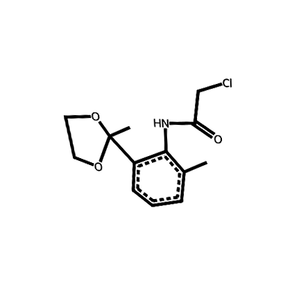 Cc1cccc(C2(C)OCCO2)c1NC(=O)CCl